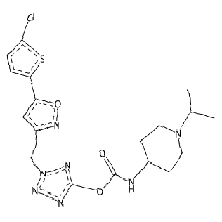 CC(C)N1CCC(NC(=O)Oc2nnn(Cc3cc(-c4ccc(Cl)s4)on3)n2)CC1